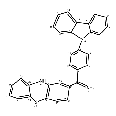 C=C(c1ccc(-n2c3ccccc3c3ccccc32)cc1)c1ccc2c(c1)Nc1ccccc1S2